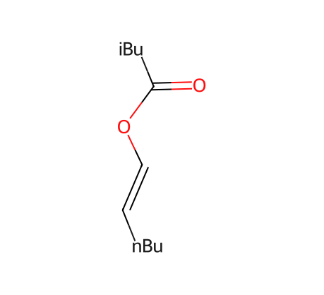 CCCCC=COC(=O)C(C)CC